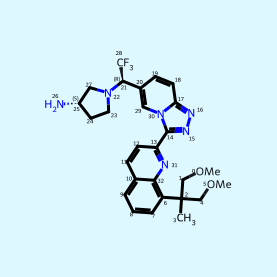 COCC(C)(COC)c1cccc2ccc(-c3nnc4ccc([C@@H](N5CC[C@H](N)C5)C(F)(F)F)cn34)nc12